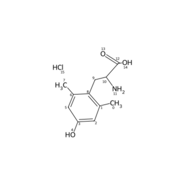 Cc1cc(O)cc(C)c1CC(N)C(=O)O.Cl